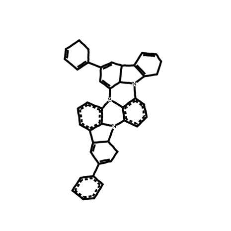 C1=CCCC(C2=CC3C4=C(CCC=C4)N4c5cccc6c5B(C(=C2)C34)c2cccc3c2N6C2CC=C(c4ccccc4)C=C32)=C1